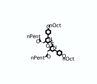 CCCCCCCCOc1ccc(-c2cc(C[C@@H]3O[C@H]3CCCCC)c(Oc3c(C[C@@H]4O[C@H]4CCCCC)cc(-c4ccc(OCCCCCCCC)cc4)nc3F)c(F)n2)cc1